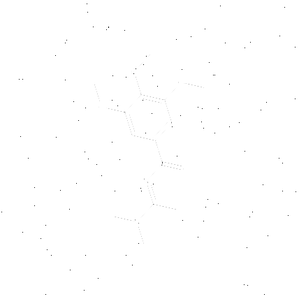 COc1cc(C(=O)/N=C(\C)N(C)C)cc(OC)c1OC